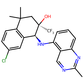 Cc1ncc2c(N[C@H]3c4cc(Cl)ccc4C(C)(C)C[C@]3(O)C(F)(F)F)cccc2n1